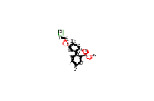 COC(=O)c1ccccc1-c1cc[c]c(OCCCl)c1